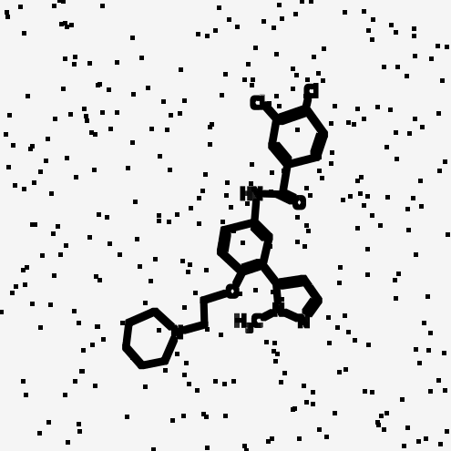 Cn1nccc1-c1cc(NC(=O)c2ccc(Cl)c(Cl)c2)ccc1OCCN1CCCCC1